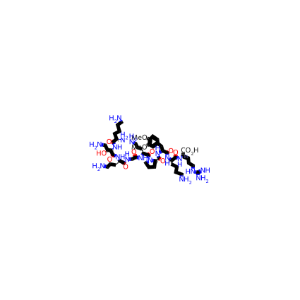 COc1ccc(CC(NC(=O)[C@@H]2CCCN2C(=O)[C@@H](CCCN)NC(=O)CNC(=O)[C@H](CCCN)NC(=O)[C@@H](NC(=O)[C@@H](N)CCCCN)[C@@H](O)CN)C(=O)N[C@@H](CCCCN)C(=O)N/C(=C\CCNC(=N)N)C(=O)O)cc1OC